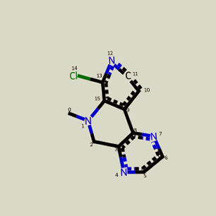 CN1Cc2nccnc2-c2ccnc(Cl)c21